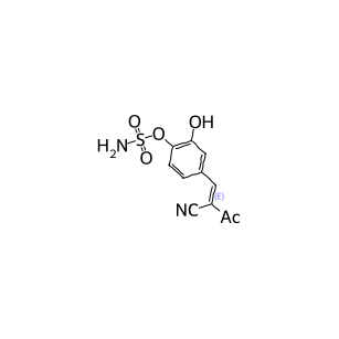 CC(=O)/C(C#N)=C/c1ccc(OS(N)(=O)=O)c(O)c1